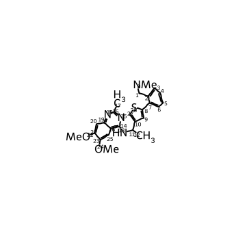 CNCc1ccccc1-c1cc(C(C)Nc2nc(C)nc3cc(OC)c(OC)cc23)cs1